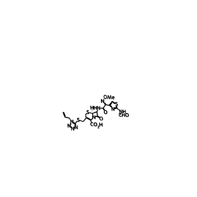 C=CCn1nnnc1SCC1=C(C(=O)O)N2C(=O)C(NC(=O)C(=NOC)c3csc(NC=O)n3)[C@@H]2SC1